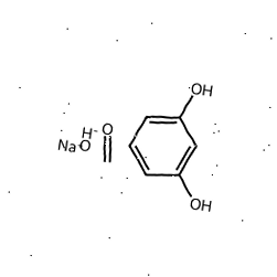 C=O.Oc1cccc(O)c1.[Na+].[OH-]